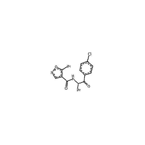 CC(C)c1oncc1C(=O)NC(C(=O)c1ccc(Cl)cc1)C(C)C